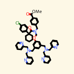 COC(=O)c1ccc(CN(COc2cc(CN(Cc3ccccn3)Cc3ccccn3)cc(CN(Cc3ccccn3)Cc3ccccn3)c2)C(=O)C2(c3ccc(Cl)cc3)CCCCC2)cc1